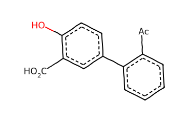 CC(=O)c1ccccc1-c1ccc(O)c(C(=O)O)c1